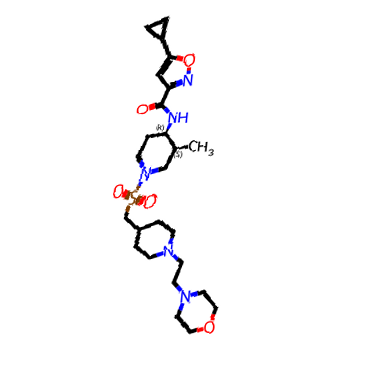 C[C@H]1CN(S(=O)(=O)CC2CCN(CCN3CCOCC3)CC2)CC[C@H]1NC(=O)c1cc(C2CC2)on1